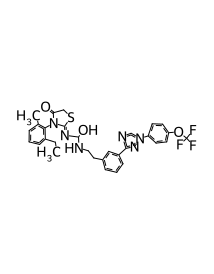 CCc1cccc(C)c1N1C(=O)CS/C1=N\C(O)NCCc1cccc(-c2ncn(-c3ccc(OC(F)(F)F)cc3)n2)c1